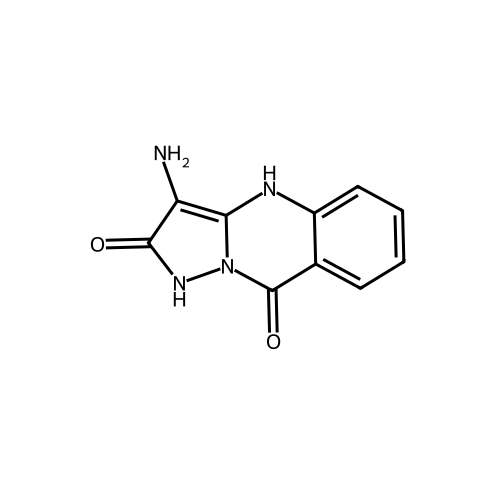 Nc1c(=O)[nH]n2c(=O)c3ccccc3[nH]c12